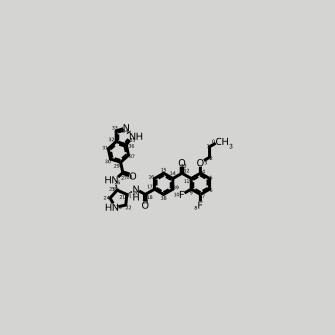 CCCOc1ccc(F)c(F)c1C(=O)c1ccc(C(=O)N[C@@H]2CNC[C@@H]2NC(=O)c2ccc3cn[nH]c3c2)cc1